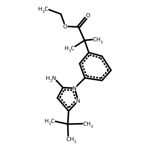 CCOC(=O)C(C)(C)c1cccc(-n2nc(C(C)(C)C)cc2N)c1